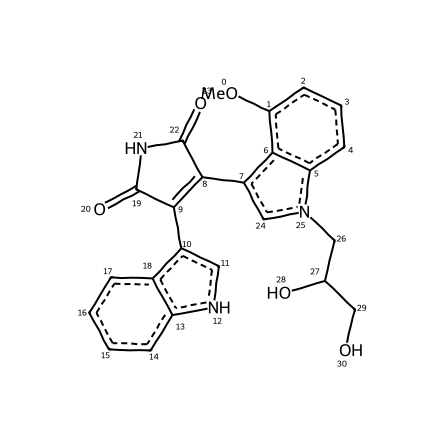 COc1cccc2c1c(C1=C(c3c[nH]c4ccccc34)C(=O)NC1=O)cn2CC(O)CO